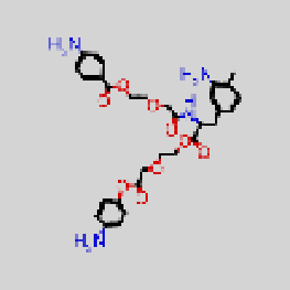 Cc1ccc(CC(NC(=O)COCCOC(=O)c2ccc(N)cc2)C(=O)OCCOCC(=O)Oc2ccc(N)cc2)cc1N